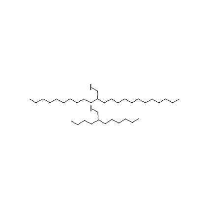 CCCCCCC(CI)CCCC.CCCCCCCCCCCCC(CI)CCCCCCCCCC